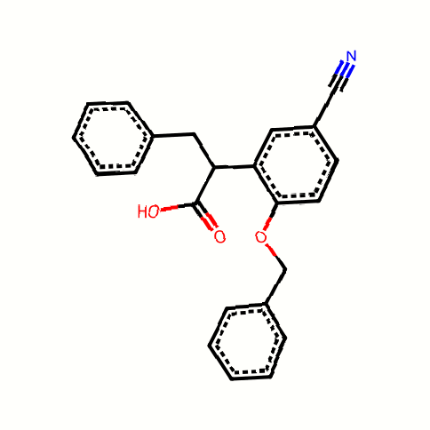 N#Cc1ccc(OCc2ccccc2)c(C(Cc2ccccc2)C(=O)O)c1